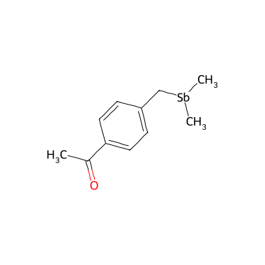 CC(=O)c1ccc([CH2][Sb]([CH3])[CH3])cc1